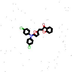 O=C1/C(=C/c2ccc(N(c3ccc(Cl)cc3)c3ccc(Cl)cc3)o2)Oc2ccccc21